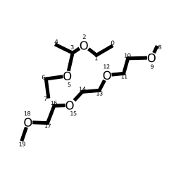 CCOC(C)OCC.COCCOCCOCCOC